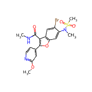 CNC(=O)c1c(-c2ccnc(OC)c2)oc2cc(N(C)S(C)(=O)=O)c(Br)cc12